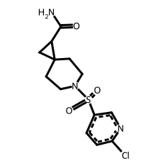 NC(=O)C1CC12CCN(S(=O)(=O)c1ccc(Cl)nc1)CC2